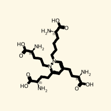 N[C@@H](CCCCN1C=C(CC[C@H](N)C(=O)O)C=C(CC[C@H](N)C(=O)O)N1CCC[C@H](N)C(=O)O)C(=O)O